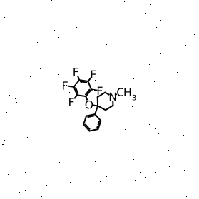 CN1CCC(Oc2c(F)c(F)c(F)c(F)c2F)(c2ccccc2)CC1